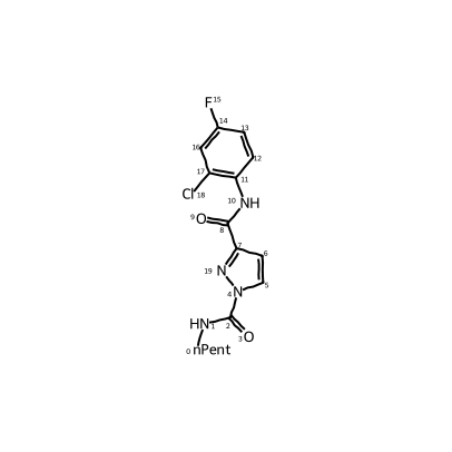 CCCCCNC(=O)n1ccc(C(=O)Nc2ccc(F)cc2Cl)n1